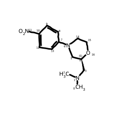 CN(C)C[C@H]1CN(c2ccc([N+](=O)[O-])cc2)CCO1